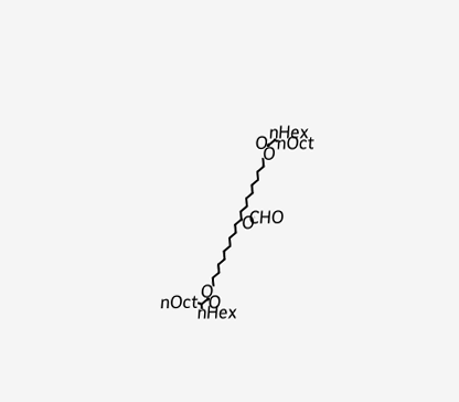 CCCCCCCCC(CCCCCC)C(=O)OCCCCCCCCCCC(CCCCCCCCCOC(=O)C(CCCCCC)CCCCCCCC)OC=O